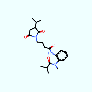 CC(C)C(=O)N(C)c1ccccc1NC(=O)CCCN1C(=O)CC(C(C)C)C1=O